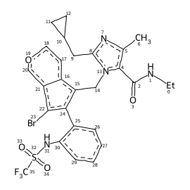 CCNC(=O)c1c(C)nc(CC2CC2)n1Cc1c2ccocc-2c(Br)c1-c1ccccc1NS(=O)(=O)C(F)(F)F